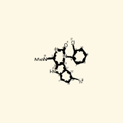 CNc1nc(=O)n(-c2ccccc2Cl)c2c1[nH]c1ccc(Cl)cc12